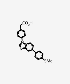 CSc1ccc(-c2ccc3c(c2)ncn3-c2ccc(CC(=O)O)cc2)cc1